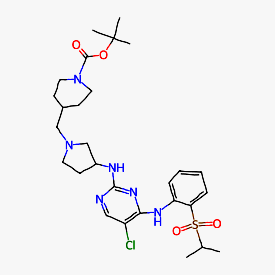 CC(C)S(=O)(=O)c1ccccc1Nc1nc(NC2CCN(CC3CCN(C(=O)OC(C)(C)C)CC3)C2)ncc1Cl